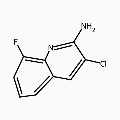 Nc1nc2c(F)cccc2cc1Cl